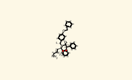 C[C@H](c1ccc(OCc2ccccc2)cc1)N(C(=O)C(c1ccccc1)c1ccccc1)[C@H](CCCN)C(N)=O